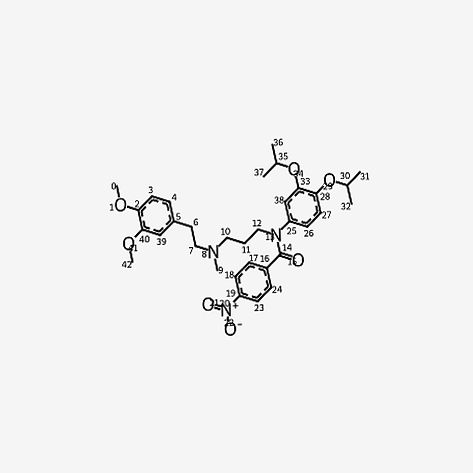 COc1ccc(CCN(C)CCCN(C(=O)c2ccc([N+](=O)[O-])cc2)c2ccc(OC(C)C)c(OC(C)C)c2)cc1OC